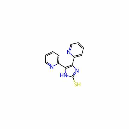 Sc1nc(-c2ccccn2)c(-c2ccccn2)[nH]1